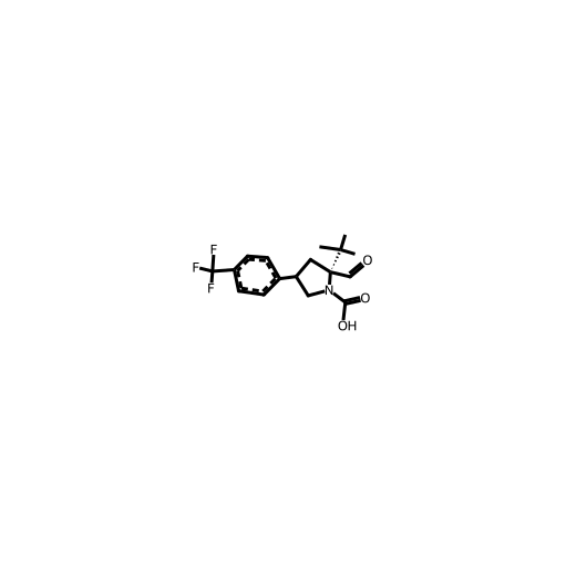 CC(C)(C)[C@@]1(C=O)CC(c2ccc(C(F)(F)F)cc2)CN1C(=O)O